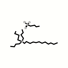 CCCCCCCCCCCC[P+](CCCC)(CCCC)CCCC.CCCCS(=O)(=O)[O-]